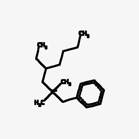 CCCCC(CC)C[N+](C)(C)Cc1ccccc1